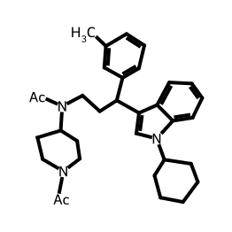 CC(=O)N1CCC(N(CCC(c2cccc(C)c2)c2cn(C3CCCCC3)c3ccccc23)C(C)=O)CC1